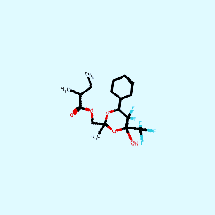 CCC(C)C(=O)OCC1(C)OC(C2CCCCC2)C(F)(F)C(O)(C(F)(F)F)O1